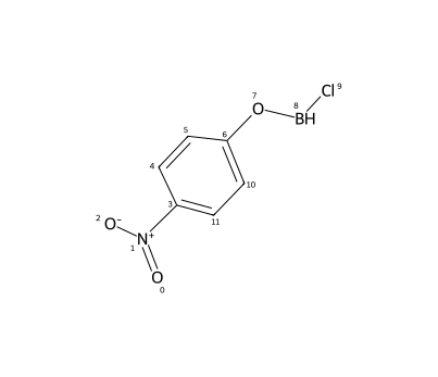 O=[N+]([O-])c1ccc(OBCl)cc1